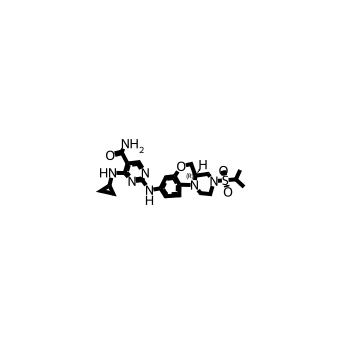 CC(C)S(=O)(=O)N1CCN2c3ccc(Nc4ncc(C(N)=O)c(NC5CC5)n4)cc3OC[C@H]2C1